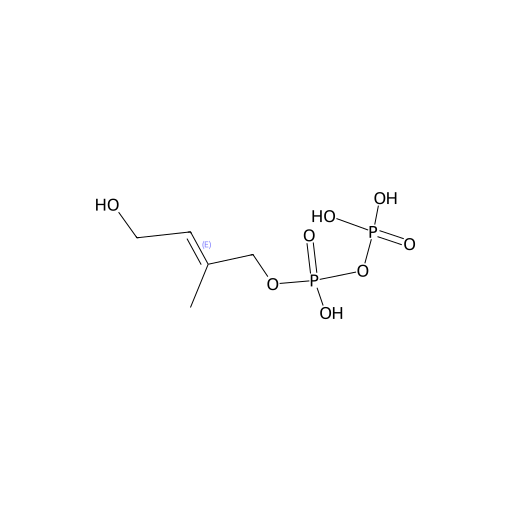 C/C(=C\CO)COP(=O)(O)OP(=O)(O)O